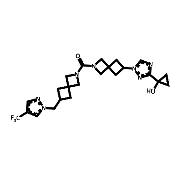 O=C(N1CC2(CC(Cn3cc(C(F)(F)F)cn3)C2)C1)N1CC2(CC(n3cnc(C4(O)CC4)n3)C2)C1